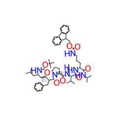 CC(C)CC(/C=C/C(Cc1ccccc1)C(=O)N1CCC[C@H]1C(=O)NC(C(=O)NC(CCCNC(=O)OCC1c2ccccc2-c2ccccc21)C(=O)NC(C)C)C(C)C)NC(=O)OC(C)(C)C